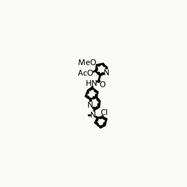 COc1ccnc(C(=O)Nc2ccc3nc(N(C)c4ccccc4Cl)ccc3c2)c1OC(C)=O